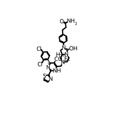 CCOC(=O)C1=C(CN2CCN3[C@@H](C2)CN(c2ccc(CCC(N)=O)cc2)[C@H]3O)NC(c2nccs2)=N[C@H]1c1ccc(Cl)cc1Cl